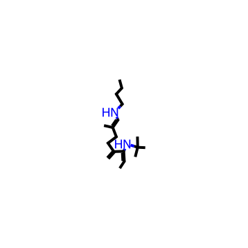 C=C(CC/C(C)=C/NCCCC)/C(=C\C)NC(C)(C)C